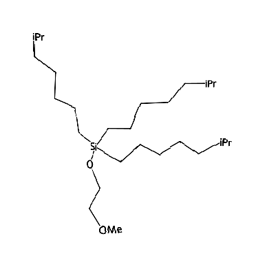 COCCO[Si](CCCCCC(C)C)(CCCCCC(C)C)CCCCCC(C)C